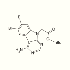 CCCCOC(=O)Cn1c2cc(F)c(Br)cc2c2c(N)ncnc21